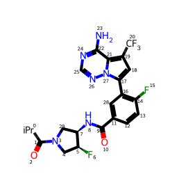 CC(C)C(=O)N1C[C@H](F)[C@H](NC(=O)c2ccc(F)c(-c3cc(C(F)(F)F)c4c(N)ncnn34)c2)C1